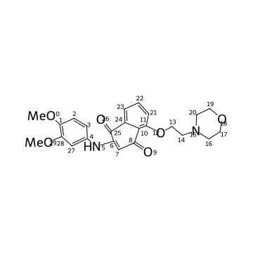 COc1ccc(NC2=CC(=O)c3c(OCCN4CCOCC4)cccc3C2=O)cc1OC